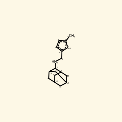 Cc1ccc(CNC2C3CC4CC(C3)CC2C4)s1